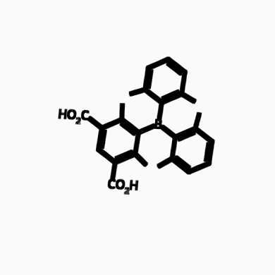 Cc1cccc(C)c1B(c1c(C)cccc1C)c1c(C)c(C(=O)O)cc(C(=O)O)c1C